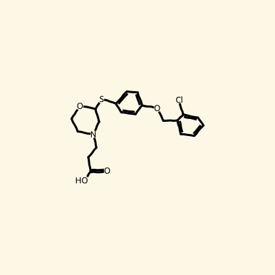 O=C(O)CCN1CCOC(Sc2ccc(OCc3ccccc3Cl)cc2)C1